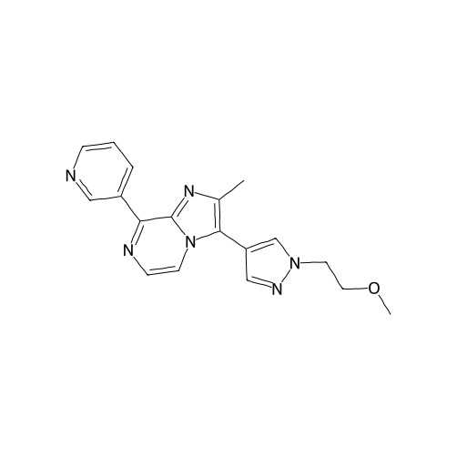 COCCn1cc(-c2c(C)nc3c(-c4cccnc4)nccn23)cn1